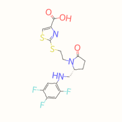 O=C(O)c1csc(SCCN2C(=O)CC[C@@H]2CNc2cc(F)c(F)cc2F)n1